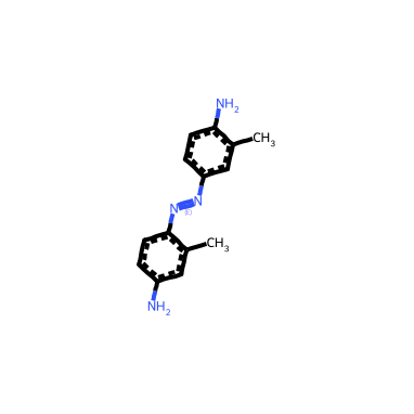 Cc1cc(/N=N/c2ccc(N)cc2C)ccc1N